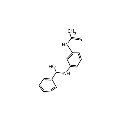 CC(=S)Nc1cccc(NC(O)c2ccccc2)c1